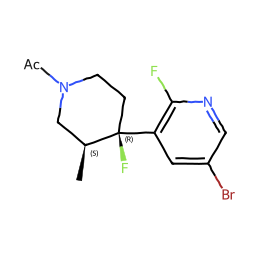 CC(=O)N1CC[C@](F)(c2cc(Br)cnc2F)[C@@H](C)C1